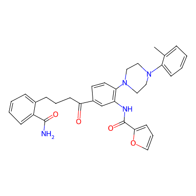 Cc1ccccc1N1CCN(c2ccc(C(=O)CCCc3ccccc3C(N)=O)cc2NC(=O)c2ccco2)CC1